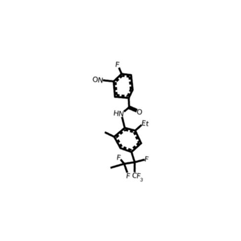 CCc1cc(C(F)(C(C)(F)F)C(F)(F)F)cc(C)c1NC(=O)c1ccc(F)c(N=O)c1